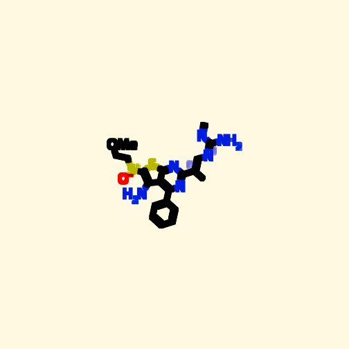 C=N/C(N)=N\C=C(/C)c1nc(-c2ccccc2)c2c(N)c([S+]([O-])CCOC)sc2n1